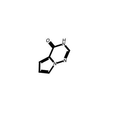 O=c1[nH]cnn2cccc12